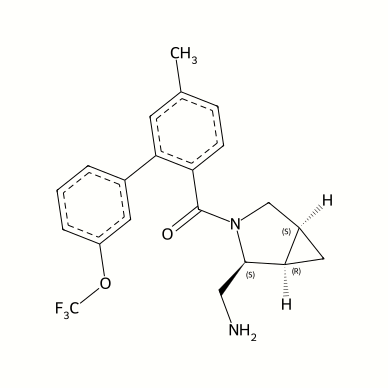 Cc1ccc(C(=O)N2C[C@H]3C[C@H]3[C@H]2CN)c(-c2cccc(OC(F)(F)F)c2)c1